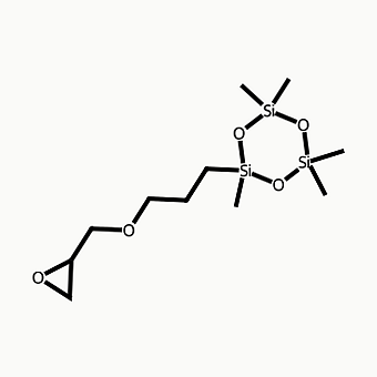 C[Si]1(C)O[Si](C)(C)O[Si](C)(CCCOCC2CO2)O1